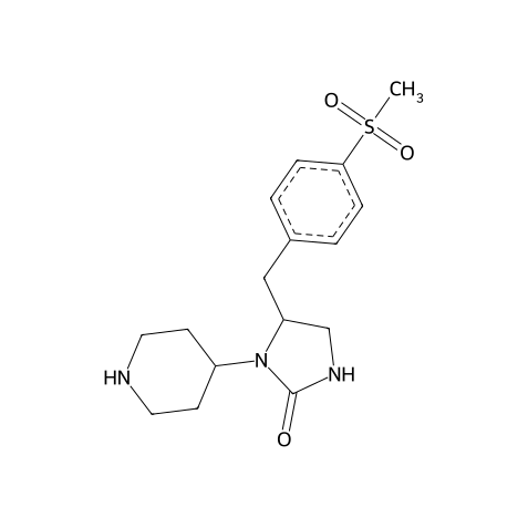 CS(=O)(=O)c1ccc(CC2CNC(=O)N2C2CCNCC2)cc1